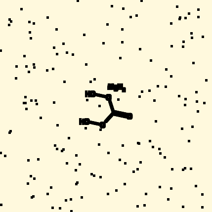 O=C(OO)OO.[MgH2]